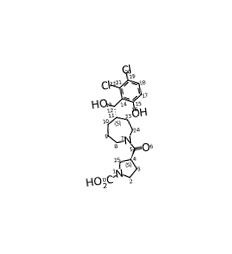 O=C(O)N1CC[C@H](C(=O)N2CCC[C@H](C(O)c3c(O)ccc(Cl)c3Cl)CC2)C1